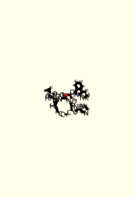 O=C(N[C@H]1CCCCCC=C[C@@H]2C[C@@]2(C(=O)NS(=O)(=O)C2CC2)NC(=O)[C@@H]2C[C@@H](Oc3nc4ncncc4c4ccccc34)CN2C1=O)c1cnccn1